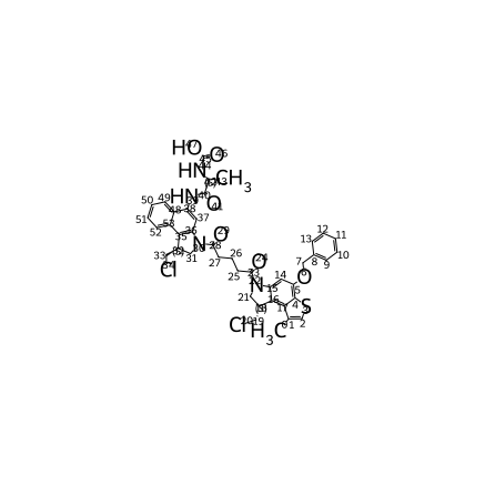 Cc1csc2c(OCc3ccccc3)cc3c(c12)[C@H](CCl)CN3C(=O)CCCC(=O)N1C[C@@H](CCl)c2c1cc(NC(=O)[C@H](C)NC(=O)O)c1ccccc21